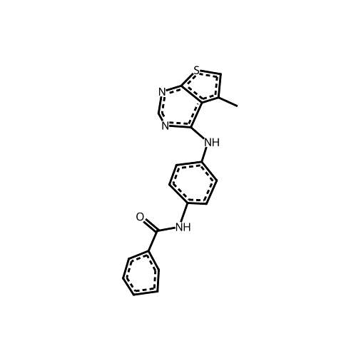 Cc1csc2ncnc(Nc3ccc(NC(=O)c4ccccc4)cc3)c12